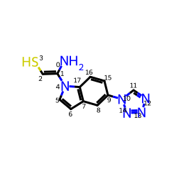 N/C(=C\S)n1ccc2cc(-n3cnnn3)ccc21